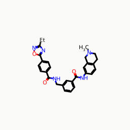 CCc1noc(-c2ccc(C(=O)NCc3cccc(C(=O)Nc4ccc5c(c4)CN(C)CC5)c3)cc2)n1